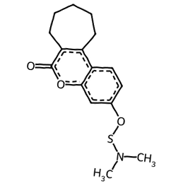 CN(C)SOc1ccc2c3c(c(=O)oc2c1)CCCCC3